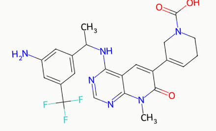 CC(Nc1ncnc2c1cc(C1=CCCN(C(=O)O)C1)c(=O)n2C)c1cc(N)cc(C(F)(F)F)c1